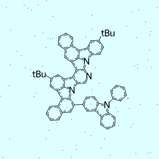 CC(C)(C)c1ccc2c(c1)c1c3ccccc3cc3c4c5c6cc(C(C)(C)C)cc7c8c9ccccc9cc(-c9ccc%10c(c9)c9ccccc9n%10-c9ccccc9)c8n(c5cnc4n2c31)c67